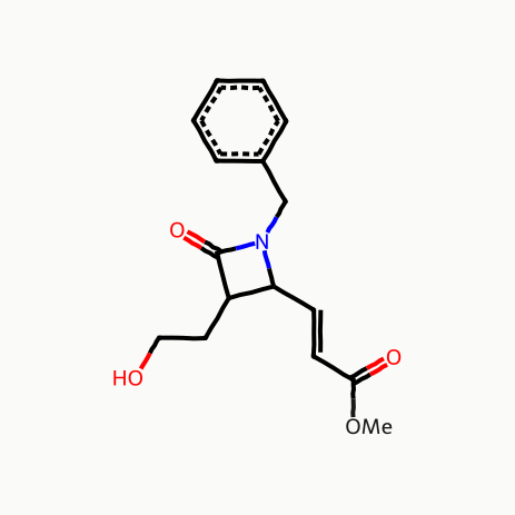 COC(=O)C=CC1C(CCO)C(=O)N1Cc1ccccc1